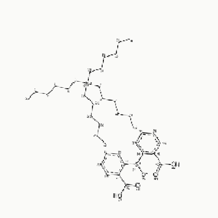 CCCCCC[N+](CCCCCC)(CCCCCC)CCCCCC.O=C(O)c1ccccc1[S+]([O-])c1ccccc1C(=O)O